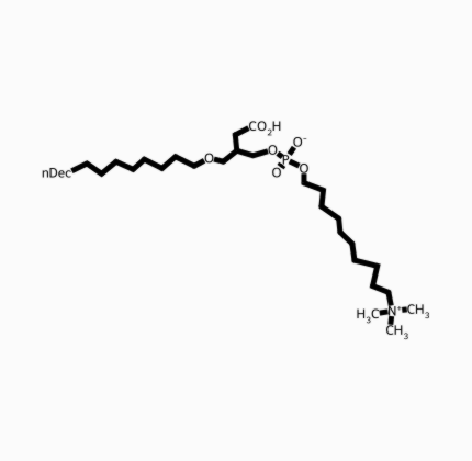 CCCCCCCCCCCCCCCCCCOCC(COP(=O)([O-])OCCCCCCCCCC[N+](C)(C)C)CC(=O)O